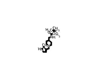 CN1NCC=C1CN1CCC(CNC(=O)OC(C)(C)C)CC1